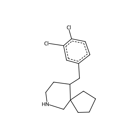 Clc1ccc(CC2CCNCC23CCCC3)cc1Cl